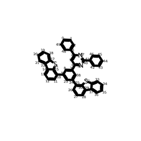 c1ccc(-c2cc(-c3cc(-c4cccc5c4sc4ccccc45)cc(-c4cccc5c4sc4ccccc45)c3)nc(-c3ccccc3)n2)cc1